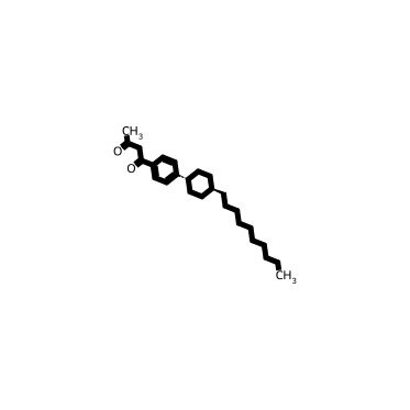 CCCCCCCCCC[C@H]1CC[C@H](c2ccc(C(=O)CC(C)=O)cc2)CC1